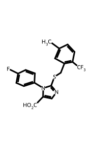 Cc1ccc(C(F)(F)F)c(CSc2ncc(C(=O)O)n2-c2ccc(F)cc2)c1